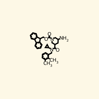 Cc1cccc(CN(C(=O)C2CC(N)CN(C(=O)OCC3c4ccccc4-c4ccccc43)C2)C2CC2)c1C